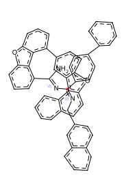 N/C(=N\C(=N/Cc1ccc2ccccc2c1)c1ccc(-c2ccccc2)cc1)c1cccc2oc3cccc(-c4ccc5oc6ccc7ccccc7c6c5c4)c3c12